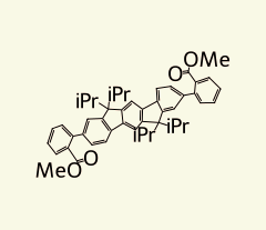 COC(=O)c1ccccc1-c1ccc2c(c1)C(C(C)C)(C(C)C)c1cc3c(cc1-2)C(C(C)C)(C(C)C)c1cc(-c2ccccc2C(=O)OC)ccc1-3